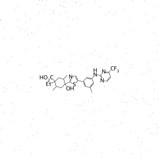 CCC1(C(=O)O)CC(C)C(O)(c2ncc(-c3cc(C)cc(Nc4nccc(C(F)(F)F)n4)c3)s2)CC1C